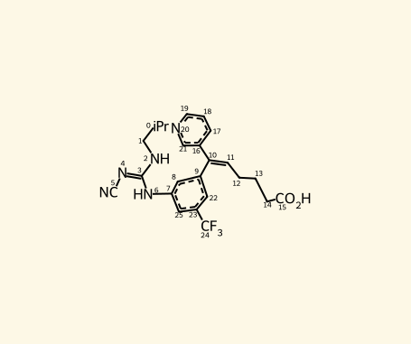 CC(C)CN/C(=N/C#N)Nc1cc(/C(=C\CCCC(=O)O)c2cccnc2)cc(C(F)(F)F)c1